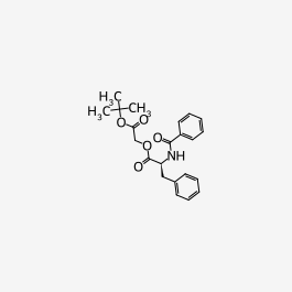 CC(C)(C)OC(=O)COC(=O)[C@H](Cc1ccccc1)NC(=O)c1ccccc1